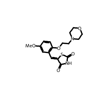 COc1ccc(OCCN2CCOCC2)c(/C=C2\SC(=O)NC2=O)c1